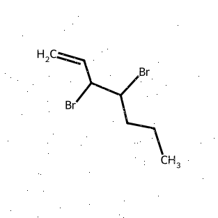 C=CC(Br)C(Br)CCC